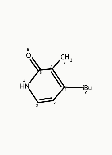 CCC(C)c1cc[nH]c(=O)c1C